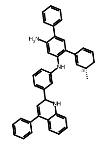 C[C@@H]1C=C(c2cc(-c3ccccc3)c(N)cc2Nc2cccc(C3C=C(c4ccccc4)c4ccccc4N3)c2)C=CC1